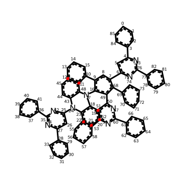 c1ccc(-c2cc(-c3cc(-c4ccccc4)c(N4c5ccccc5N(c5cc(-c6ccccc6)nc(-c6ccccc6)n5)c5ccccc54)c(-c4cc(-c5ccccc5)nc(-c5ccccc5)n4)c3-c3ccccc3)nc(-c3ccccc3)n2)cc1